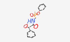 CP(=O)(CNC(=O)C(=O)c1ccccc1)Oc1ccccc1